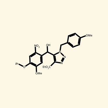 CCOC(=O)c1nnn(Cc2ccc(OC)cc2)c1C(O)c1cc(OC)c(OC(C)C)cc1[N+](=O)[O-]